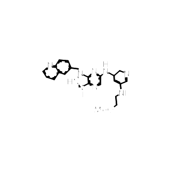 COCCNC1=CC(Nc2cnc3c(n2)N(Cc2ccc4ncccc4c2)NN3)CN=C1